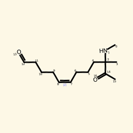 CNC(C)(CCC/C=C\CCCC=O)C(C)=O